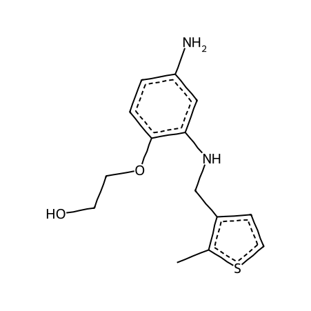 Cc1sccc1CNc1cc(N)ccc1OCCO